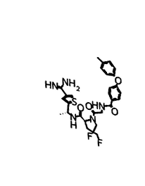 Cc1ccc(Oc2ccc(C(=O)NCC(=O)N3C[C@@](F)(CF)C[C@H]3C(=O)N[C@H](C)c3cc(C(=N)N)cs3)cc2)cc1